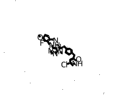 COc1ccc(C#N)c(CNc2ncnc3c2nc(Cc2ccc(Cc4cc(Cl)c[nH]c4=O)cc2)n3C)c1F